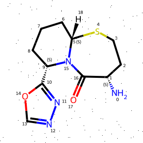 N[C@H]1CCS[C@H]2CCC[C@@H](c3nnco3)N2C1=O